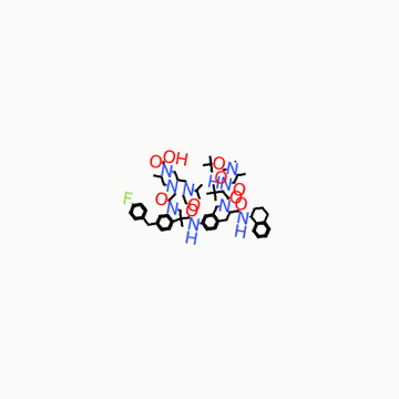 CC1COCCN1CC1CN(C(=O)O)C(C)CN1CC(=O)N1CC(C)(C(=O)Nc2ccc3c(c2)CN(C(=O)C(NC(=O)C(C)N(C)C(=O)OC(C)(C)C)C(C)(C)C)C(C(=O)N[C@@H]2CCCc4ccccc42)C3)c2ccc(Cc3ccc(F)cc3)cc21